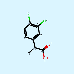 C[C@H](C(=O)O)c1ccc(Cl)c(Cl)c1